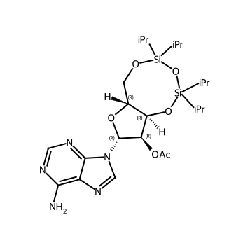 CC(=O)O[C@@H]1[C@@H]2O[Si](C(C)C)(C(C)C)O[Si](C(C)C)(C(C)C)OC[C@H]2O[C@H]1n1cnc2c(N)ncnc21